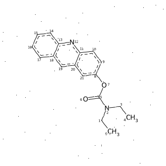 CCN(CC)C(=O)Oc1ccc2nc3ccccc3cc2c1